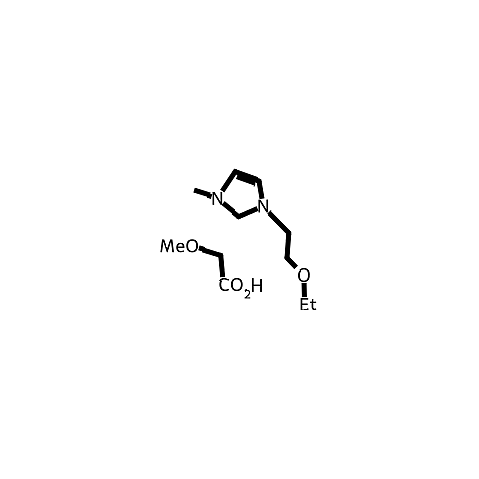 CCOCCN1C=CN(C)C1.COCC(=O)O